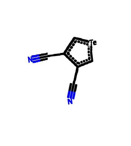 N#Cc1c[te]cc1C#N